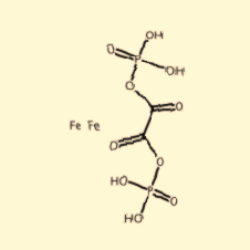 O=C(OP(=O)(O)O)C(=O)OP(=O)(O)O.[Fe].[Fe]